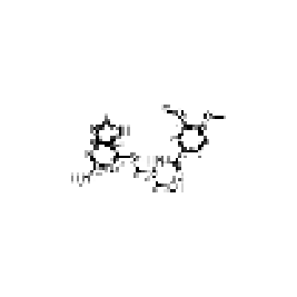 COc1ccc(C(=O)N[C@@H](CO)CSc2nc(N)nc3nc[nH]c23)cc1OC